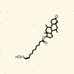 CCCCCCCC/C=C\CCCCCCCC(=O)OC1CCC2C3C(C)CC4=CC(=O)CCC4C3C(C)CC12C